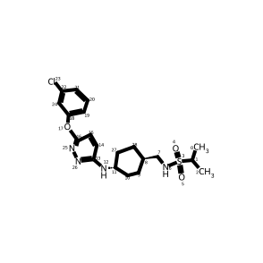 CC(C)S(=O)(=O)NC[C@H]1CC[C@H](Nc2ccc(Oc3cccc(Cl)c3)nn2)CC1